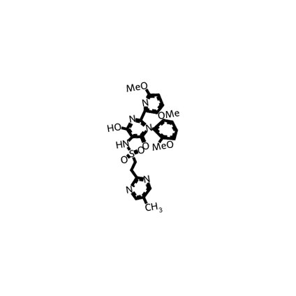 COc1cccc(-c2nc(O)c(NS(=O)(=O)CCc3ncc(C)cn3)c(=O)n2-c2c(OC)cccc2OC)n1